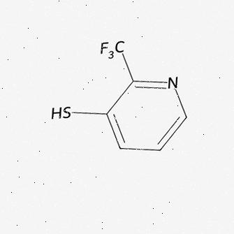 FC(F)(F)c1ncccc1S